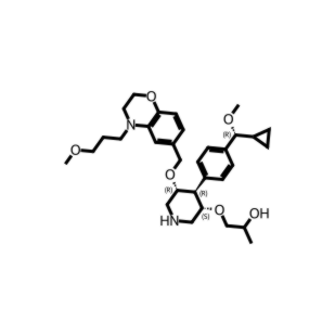 COCCCN1CCOc2ccc(CO[C@H]3CNC[C@@H](OCC(C)O)[C@@H]3c3ccc([C@H](OC)C4CC4)cc3)cc21